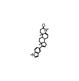 CN1C(=O)CCC2(C)C1=CCC1C3CC=C(c4ccc5c(ccn5C)c4)C3(C)CCC12